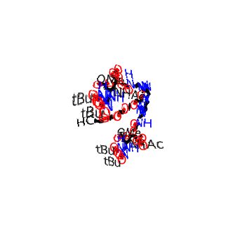 C#CCOCCOCCOCCOCCC(=O)N(Cc1cn(CCNC(=O)CO[C@@H]([C@@H]2OC(C(=O)OC)=C[C@H](N/C(=N/C(=O)OC(C)(C)C)NC(=O)OC(C)(C)C)[C@H]2NC(C)=O)[C@H]2COC(=O)O2)nn1)Cc1cn(CCNC(=O)CO[C@@H]([C@@H]2OC(C(=O)OC)=C[C@H](N/C(=N/C(=O)OC(C)(C)C)NC(=O)OC(C)(C)C)[C@H]2NC(C)=O)[C@H]2COC(=O)O2)nn1